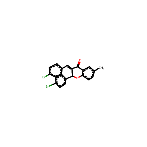 Cc1ccc2c(c1)C(=O)/C(=C/c1ccc(Br)cc1)C(c1ccc(Br)cc1)O2